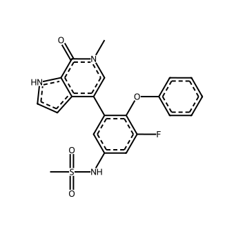 Cn1cc(-c2cc(NS(C)(=O)=O)cc(F)c2Oc2ccccc2)c2cc[nH]c2c1=O